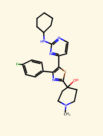 CN1CCC(O)(c2nc(-c3ccc(F)cc3)c(-c3ccnc(NC4CCCCC4)n3)s2)CC1